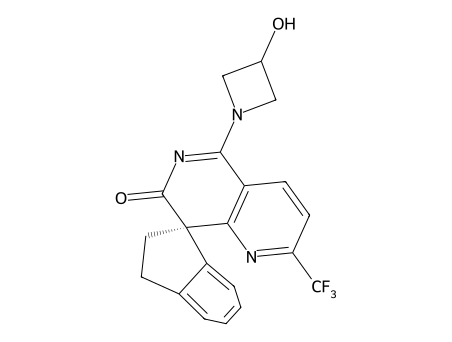 O=C1N=C(N2CC(O)C2)c2ccc(C(F)(F)F)nc2[C@]12CCc1ccccc12